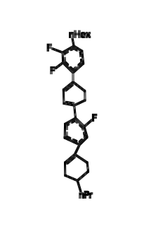 CCCCCCc1ccc(C2=CC=C(c3ccc(C4=CCC(CCC)CC4)cc3F)CC2)c(F)c1F